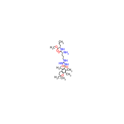 C=CC[C@@H](NC(=O)[C@H](N)CCCNC(=N)NS(=O)(=O)c1c(C)c(C)c2c(c1C)CCC(C)(C)O2)C(=O)OC